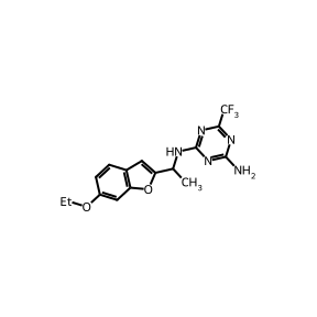 CCOc1ccc2cc(C(C)Nc3nc(N)nc(C(F)(F)F)n3)oc2c1